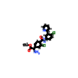 CC(C)(C)OC(=O)C(N)c1ccc(C(=O)Nc2ccc(Cl)c(-c3ccccn3)c2)c(Cl)c1